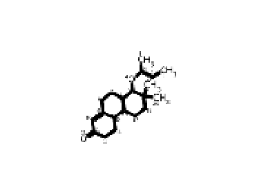 CCC(C)OC1C2CCC3=CC(=O)CCC3C2CCC1(C)C